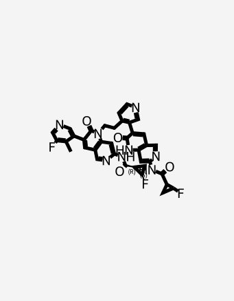 Cc1c(F)cncc1-c1cc2cnc(NC(=O)[C@H]3C[C@@H]3F)cc2n(CCc2ccncc2-c2cc3cnc(NC(=O)C4CC4F)cc3[nH]c2=O)c1=O